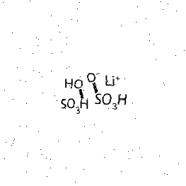 O=S(=O)(O)O.O=S(=O)([O-])O.[Li+]